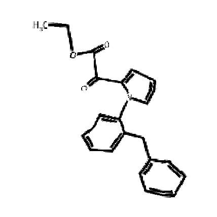 CCOC(=O)C(=O)c1cccn1-c1ccccc1Cc1ccccc1